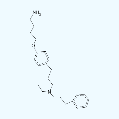 CCN(CCCc1ccccc1)CCCc1ccc(OCCCCN)cc1